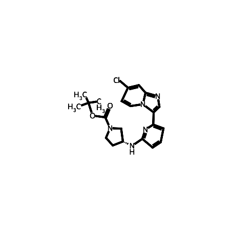 CC(C)(C)OC(=O)N1CC[C@@H](Nc2cccc(-c3cnc4cc(Cl)ccn34)n2)C1